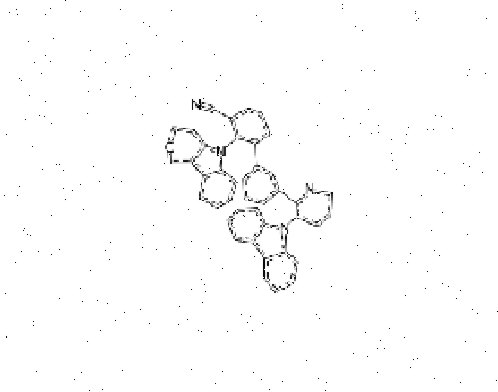 N#Cc1cccc(-c2cccc(-c3ncccc3-n3c4ccccc4c4ccccc43)c2)c1-n1c2ccccc2c2ccccc21